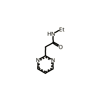 CCNC(=O)Cc1ncccn1